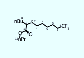 CCCCC(SCCCCCC(F)(F)F)C(=O)OCCC